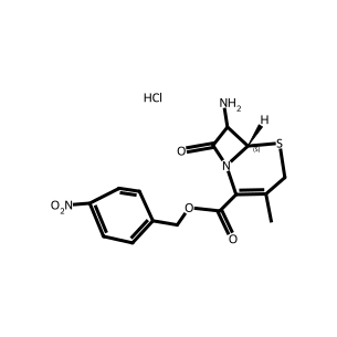 CC1=C(C(=O)OCc2ccc([N+](=O)[O-])cc2)N2C(=O)C(N)[C@@H]2SC1.Cl